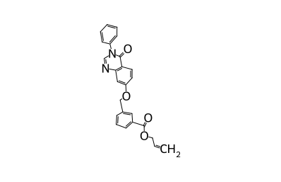 C=CCOC(=O)c1cccc(COc2ccc3c(=O)n(-c4ccccc4)cnc3c2)c1